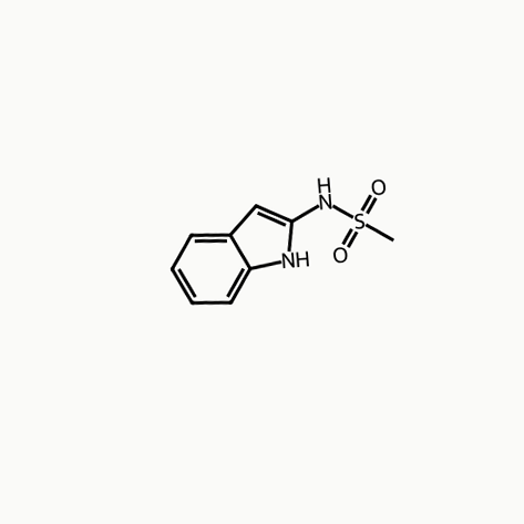 CS(=O)(=O)Nc1cc2ccccc2[nH]1